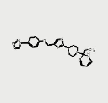 CCC1(N2CCC(c3nc(COc4ccc(-n5cnnn5)cc4)cs3)CC2)N=CC=CN1